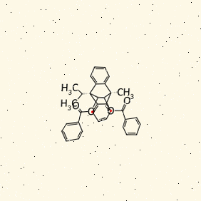 CC(C)[C@]12c3ccccc3[C@](C)(c3ccccc31)C(OC(=O)c1ccccc1)C2OC(=O)c1ccccc1